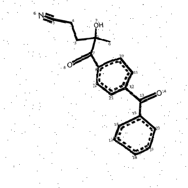 CC(O)(CCC#N)C(=O)c1ccc(C(=O)c2ccccc2)cc1